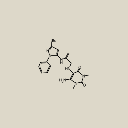 C=C(CNc1c(N)n(C)c(=O)n(C)c1=O)Nc1cc(C(C)(C)C)nn1-c1ccccc1